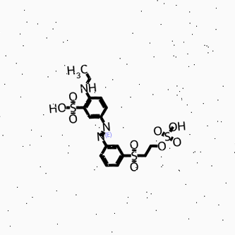 CCNc1ccc(/N=N/c2cccc(S(=O)(=O)CCOS(=O)(=O)O)c2)cc1S(=O)(=O)O